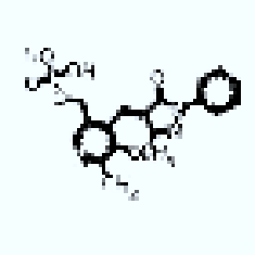 CC1=NN(c2ccccc2)C(=O)/C1=C/c1c(COP(=O)(O)O)cnc(C)c1O